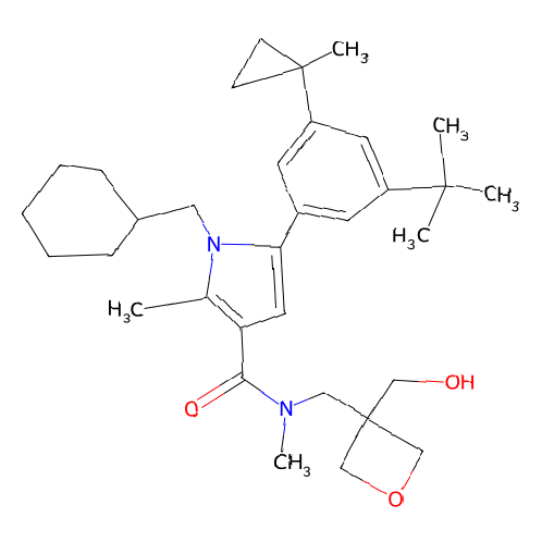 Cc1c(C(=O)N(C)CC2(CO)COC2)cc(-c2cc(C(C)(C)C)cc(C3(C)CC3)c2)n1CC1CCCCC1